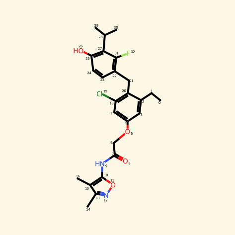 CCc1cc(OCC(=O)Nc2onc(C)c2C)cc(Cl)c1Cc1ccc(O)c(C(C)C)c1F